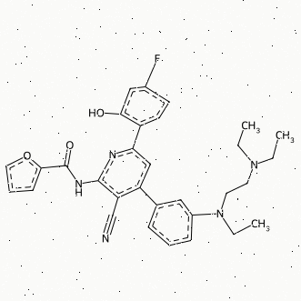 CCN(CC)CCN(CC)c1cccc(-c2cc(-c3ccc(F)cc3O)nc(NC(=O)c3ccco3)c2C#N)c1